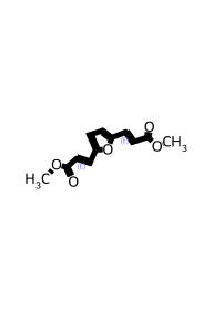 COC(=O)/C=C/c1ccc(/C=C/C(=O)OC)o1